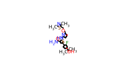 Cc1nc(C)c(COCc2cccc(Nc3sc(-c4ccc(C(C)(C)O)cc4F)cc3C(N)=O)n2)s1